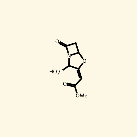 COC(=O)C=C1OC2CC(=O)N2C1C(=O)O